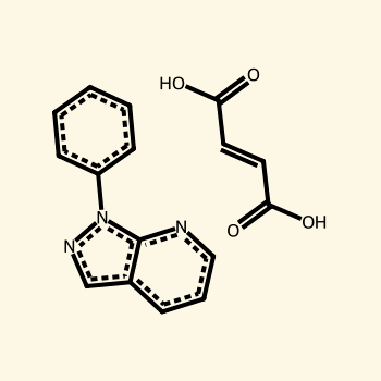 O=C(O)C=CC(=O)O.c1ccc(-n2ncc3cccnc32)cc1